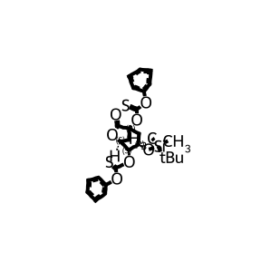 CC(C)(C)[Si](C)(C)O[C@@H]1C[C@]2(OC(=S)Oc3ccccc3)C[C@H](OC2=O)[C@@H]1OC(=S)Oc1ccccc1